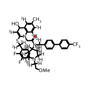 [2H]C1=C(SC([2H])([2H])c2cccc(F)c2F)N(CC(=O)N(C([2H])([2H])c2ccc(-c3ccc(C(F)(F)F)cc3)cc2)C2([2H])C([2H])([2H])C([2H])([2H])N(C([2H])([2H])COC)C([2H])([2H])C2([2H])[2H])c2c([2H])c([2H])c(C)c([2H])c2C1O